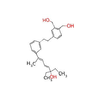 CCC(O)(C=CC=C(C)c1cccc(CCc2ccc(CO)c(CO)c2)c1)CC